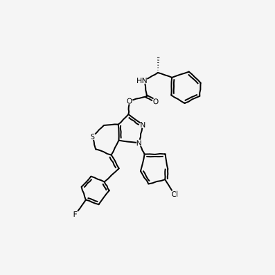 C[C@@H](NC(=O)Oc1nn(-c2ccc(Cl)cc2)c2c1CSC/C2=C\c1ccc(F)cc1)c1ccccc1